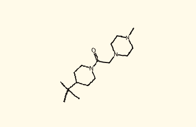 CN1CCN(CC(=O)N2CCC(C(C)(C)C)CC2)CC1